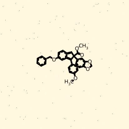 COC(=O)C1(c2ccc3c(c2)OCO3)C=c2ccc(OCc3ccccc3)cc2=C1c1ccc(OC)cc1